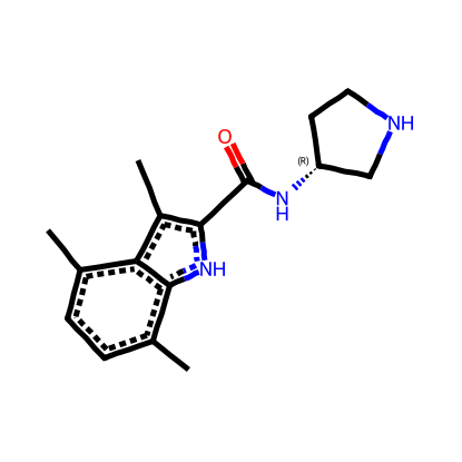 Cc1ccc(C)c2c(C)c(C(=O)N[C@@H]3CCNC3)[nH]c12